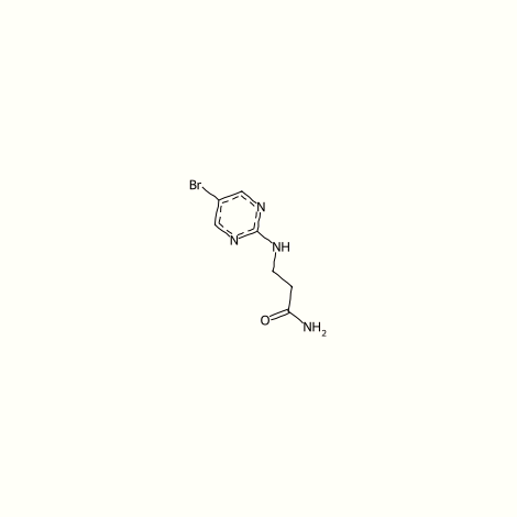 NC(=O)CCNc1ncc(Br)cn1